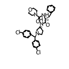 O=C(N[C@@H]1CCN(C(c2ccc(Cl)cc2)c2ccc(Cl)cc2)C1)[C@H](Cc1ccccc1)NC(=O)N1CCOCC1